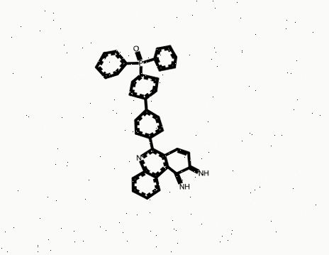 N=C1C=Cc2c(-c3ccc(-c4ccc(P(=O)(c5ccccc5)c5ccccc5)cc4)cc3)nc3ccccc3c2C1=N